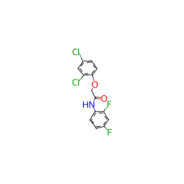 O=C(COc1ccc(Cl)cc1Cl)Nc1ccc(F)cc1F